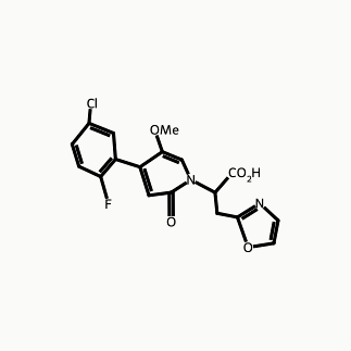 COc1cn(C(Cc2ncco2)C(=O)O)c(=O)cc1-c1cc(Cl)ccc1F